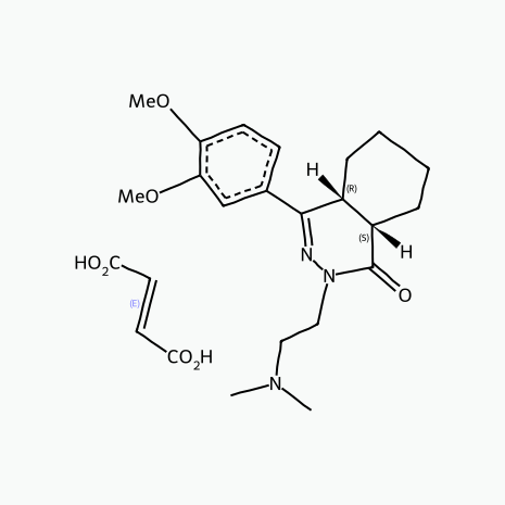 COc1ccc(C2=NN(CCN(C)C)C(=O)[C@H]3CCCC[C@@H]23)cc1OC.O=C(O)/C=C/C(=O)O